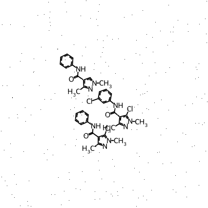 Cc1nn(C)c(Cl)c1C(=O)Nc1cccc(Cl)c1.Cc1nn(C)c(Cl)c1C(=O)Nc1ccccc1.Cc1nn(C)cc1C(=O)Nc1ccccc1